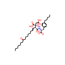 CCCCCCCC(=O)CCCCCC/C=C/[C@H](C(=O)N[C@@H](Cc1ccc(CCCCC)cc1)C(=O)O)[C@@](O)(CC(=O)O)C(=O)O